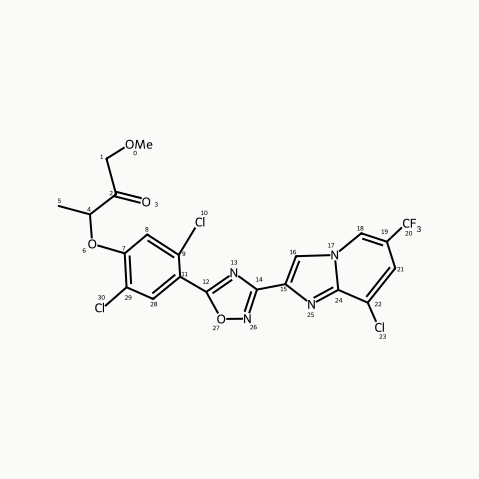 COCC(=O)C(C)Oc1cc(Cl)c(-c2nc(-c3cn4cc(C(F)(F)F)cc(Cl)c4n3)no2)cc1Cl